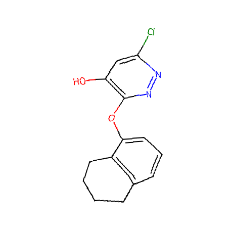 Oc1cc(Cl)nnc1Oc1cccc2c1CCCC2